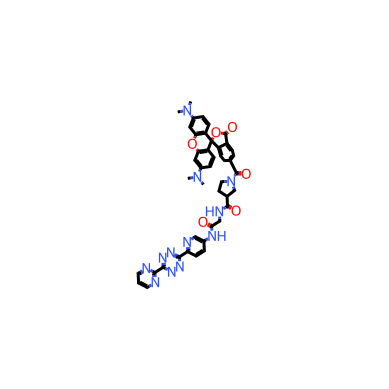 CN(C)c1ccc2c(c1)Oc1cc(N(C)C)ccc1C21OC(=O)C2=CC=C(C(=O)N3CCC(C(=O)NCC(=O)Nc4ccc(-c5nnc(-c6ncccn6)nn5)nc4)C3)CC=C21